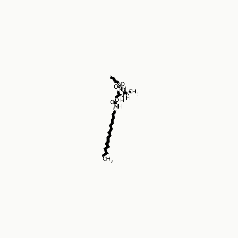 CCCCCCCCCCCCCCCCCCNC(=O)OCC(CNS(=O)(=O)CCCI)NC(=O)NC